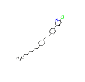 CCCCCCCC1CCC(CCc2ccc(-c3ccc(Cl)nc3)cc2)CC1